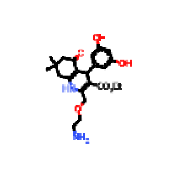 CCOC(=O)C1=C(COCCN)NC2=C(C(=O)CC(C)(C)C2)C1c1cc(O)cc(O)c1